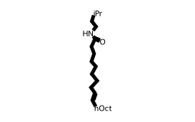 CCCCCCCCC=CCCCCCCCC(=O)NCCC(C)C